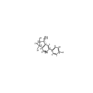 CCC1c2cc(-c3ccc(C)cc3)ncc2C2(C)CC12C